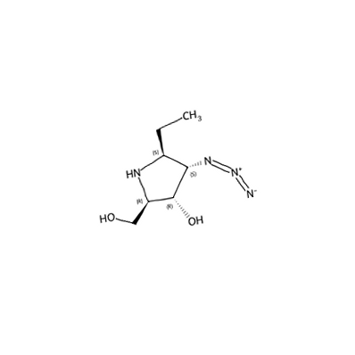 CC[C@@H]1N[C@H](CO)[C@@H](O)[C@H]1N=[N+]=[N-]